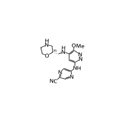 COc1nnc(Nc2cnc(C#N)cn2)cc1NC[C@H]1CNCCO1